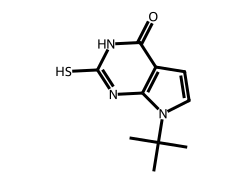 CC(C)(C)n1ccc2c(=O)[nH]c(S)nc21